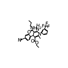 CCCNC(=O)C1=C(N)N(c2cccc(C(F)(F)F)c2)C(C)=C(C(=O)OCC)C1c1ccc(C#N)cc1